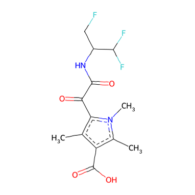 Cc1c(C(=O)O)c(C)n(C)c1C(=O)C(=O)NC(CF)C(F)F